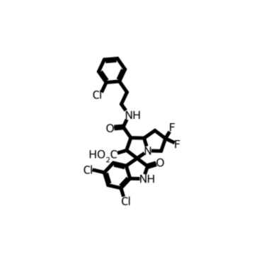 O=C(NCCc1ccccc1Cl)C1C2CC(F)(F)CN2C2(C(=O)Nc3c(Cl)cc(Cl)cc32)C1C(=O)O